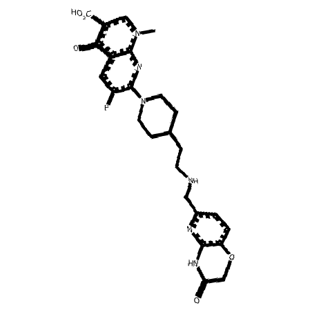 Cn1cc(C(=O)O)c(=O)c2cc(F)c(N3CCC(CCNCc4ccc5c(n4)NC(=O)CO5)CC3)nc21